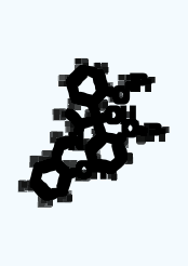 CC(C)Oc1ccccc1C(O)(c1ccccc1OC(C)C)C(C)N=Cc1ccccc1O